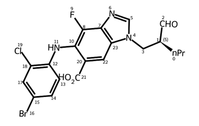 CCC[C@H](C=O)Cn1cnc2c(F)c(Nc3ccc(Br)cc3Cl)c(C(=O)O)cc21